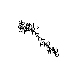 COCC(=O)NCCNC(=O)CCC(=O)NCCOCCOCCOCCOCCC(=O)N1CCN(c2ccc(-n3c(=O)ccc4cnc5ccc(-c6ccc(N)nc6)cc5c43)cc2C(F)(F)F)CC1